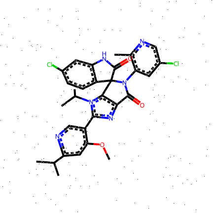 COc1cc(C(C)C)ncc1-c1nc2c(n1C(C)C)C1(C(=O)Nc3cc(Cl)ccc31)N(c1cc(Cl)cnc1C)C2=O